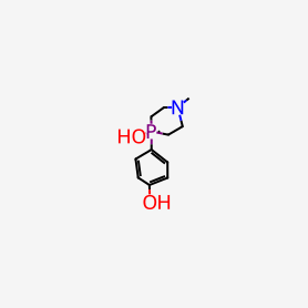 CN1CC[P](O)(c2ccc(O)cc2)CC1